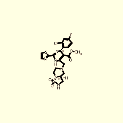 COC(=O)C1=C(CN2CCN3[C@H](CNS3(=O)=O)C2)NC(c2nccs2)=N[C@H]1c1ccc(F)cc1Cl